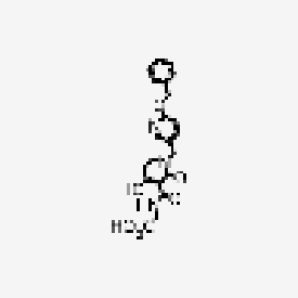 O=C(O)CNC(=O)C1=C(O)CCN(Cc2ccc(OCc3ccccc3)nc2)C1=O